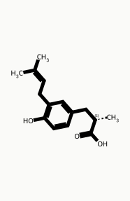 CC(C)=CCc1cc(C[C@H](C)C(=O)O)ccc1O